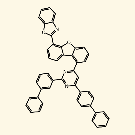 c1ccc(-c2ccc(-c3cc(-c4cccc5oc6c(-c7nc8ccccc8o7)cccc6c45)nc(-c4cccc(-c5ccccc5)c4)n3)cc2)cc1